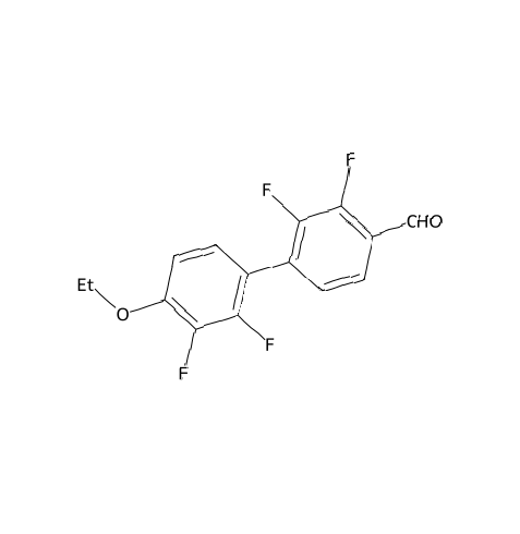 CCOc1ccc(-c2ccc(C=O)c(F)c2F)c(F)c1F